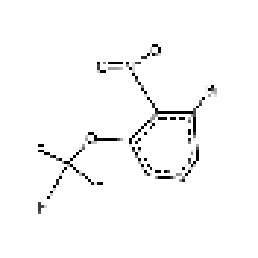 O=[N+]([O-])c1c(Br)cccc1OC(F)(F)F